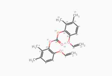 C=COc1ccc(C)c(C)c1OC(=O)Oc1c(OC=C)ccc(C)c1C